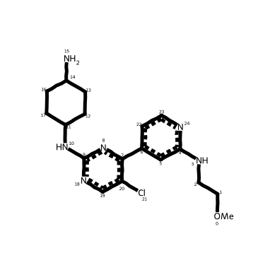 COCCNc1cc(-c2nc(NC3CCC(N)CC3)ncc2Cl)ccn1